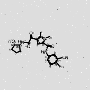 Cc1c(C(=O)C(=O)N[C@H]2CCC[C@@H]2O)cc(C(=O)Nc2ccc(F)c(C#N)c2)n1C